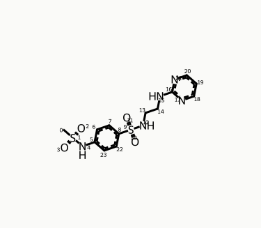 CS(=O)(=O)Nc1ccc(S(=O)(=O)NCCNc2ncccn2)cc1